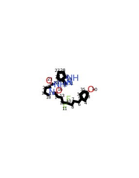 COc1ccc(CCCC(F)(F)CCCC(=O)N2CCC[C@@H]2C(=O)Nc2cccc3[nH]ncc23)cc1